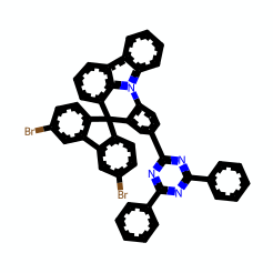 Brc1ccc2c(c1)-c1cc(Br)ccc1C21c2cc(-c3nc(-c4ccccc4)nc(-c4ccccc4)n3)ccc2-n2c3ccccc3c3cccc1c32